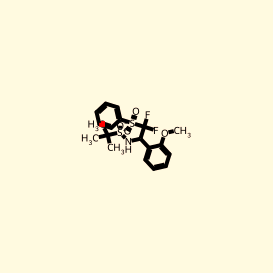 COc1ccccc1C(N[S+]([O-])C(C)(C)C)C(F)(F)S(=O)(=O)c1ccccc1